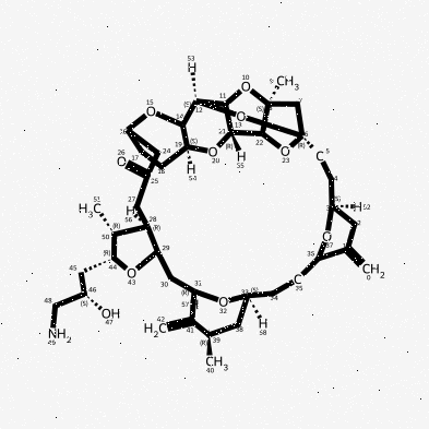 C=C1C[C@@H]2CC[C@@]34C[C@]5(C)OC6[C@@H](O3)C3OC(CC[C@@H]3O[C@H]6C5O4)CC(=O)C[C@H]3C(C[C@H]4O[C@@H](CCC1O2)C[C@@H](C)C4=C)O[C@H](C[C@H](O)CN)[C@@H]3C